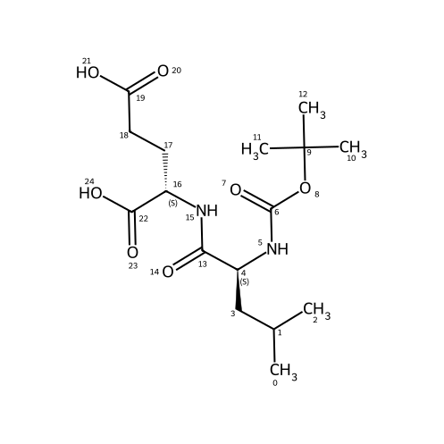 CC(C)C[C@H](NC(=O)OC(C)(C)C)C(=O)N[C@@H](CCC(=O)O)C(=O)O